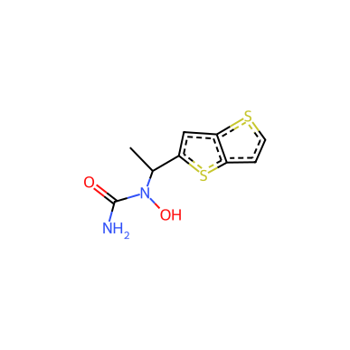 CC(c1cc2sccc2s1)N(O)C(N)=O